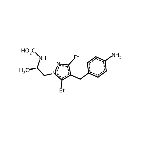 CCc1nn(C[C@@H](C)NC(=O)O)c(CC)c1Cc1ccc(N)cc1